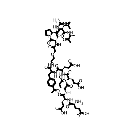 CC(=O)c1ccc(CC(NC(=O)[C@@H](CCC(=O)O)NC(=O)[C@@H](CCC(=O)O)NC(=O)[C@@H](CCC(=O)O)NC(=O)[C@@H](CCC(=O)O)NC(=O)[C@H](N)CCC(=O)O)C(=O)NCCOCC(=O)N[C@@H](CCCNC(=N)N)C(=O)N2CCC[C@H]2C(=O)N[C@@H](CC(C)C)C(=O)N[C@@H](C)C(C)=O)cc1